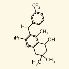 Cc1c2c(nc(C(C)C)c1[C@H](I)c1cccc(C(F)(F)F)c1)CC(C)(C)CC2O